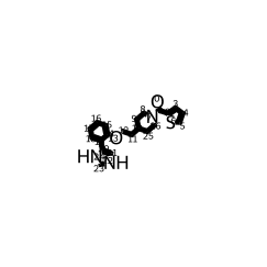 O=C(c1cccs1)N1CCC(CCOc2ccccc2C2=CNCN2)CC1